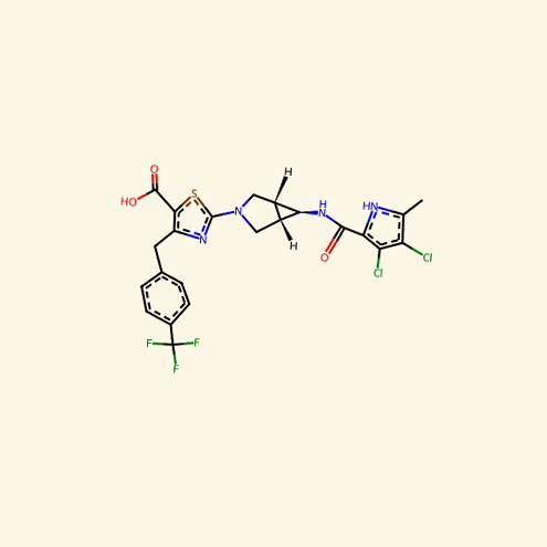 Cc1[nH]c(C(=O)N[C@H]2[C@@H]3CN(c4nc(Cc5ccc(C(F)(F)F)cc5)c(C(=O)O)s4)C[C@@H]32)c(Cl)c1Cl